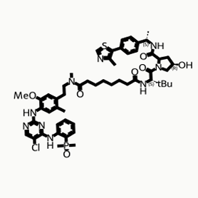 COc1cc(CCN(C)C(=O)CCCCCCC(=O)N[C@H](C(=O)N2C[C@H](O)CC2C(=O)N[C@@H](C)c2ccc(-c3scnc3C)cc2)C(C)(C)C)c(C)cc1Nc1ncc(Cl)c(Nc2ccccc2P(C)(C)=O)n1